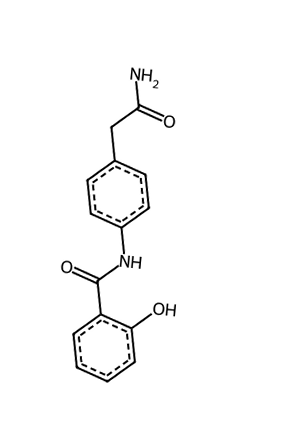 NC(=O)Cc1ccc(NC(=O)c2ccccc2O)cc1